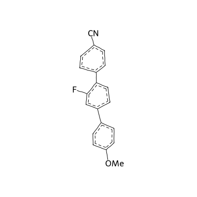 COc1ccc(-c2ccc(-c3ccc(C#N)cc3)c(F)c2)cc1